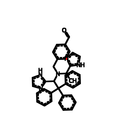 CC(c1ncc[nH]1)N(Cc1ccc(C=O)cc1)C(c1ncc[nH]1)C(c1ccccc1)(c1ccccc1)c1ccccc1